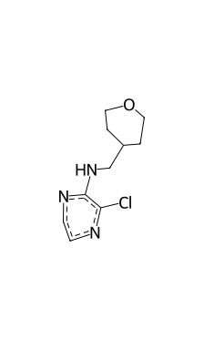 Clc1nccnc1NCC1CCOCC1